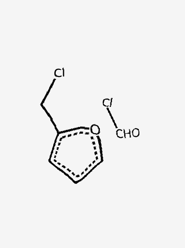 ClCc1ccco1.O=CCl